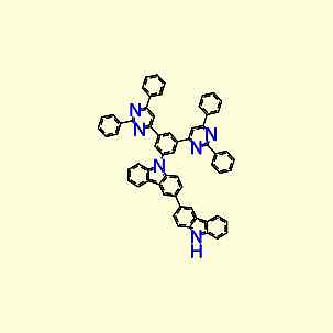 c1ccc(-c2cc(-c3cc(-c4cc(-c5ccccc5)nc(-c5ccccc5)n4)cc(-n4c5ccccc5c5cc(-c6ccc7[nH]c8ccccc8c7c6)ccc54)c3)nc(-c3ccccc3)n2)cc1